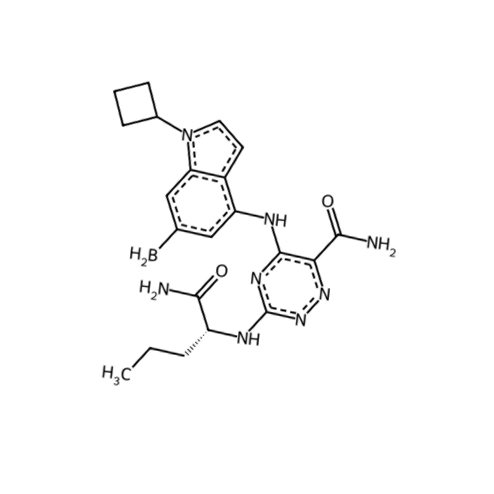 Bc1cc(Nc2nc(N[C@H](CCC)C(N)=O)nnc2C(N)=O)c2ccn(C3CCC3)c2c1